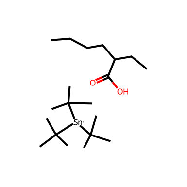 CCCCC(CC)C(=O)O.C[C](C)(C)[Sn]([C](C)(C)C)[C](C)(C)C